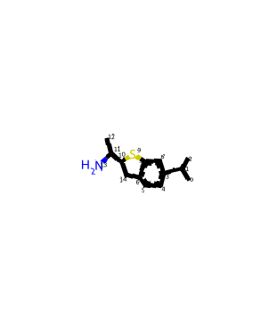 CC(C)c1ccc2c(c1)SC(C(C)N)C2